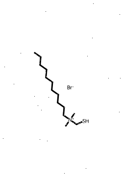 CCCCCCCCCCC[N+](C)(C)CS.[Br-]